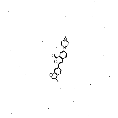 CC1COc2cc(-c3cc4ccc(N5CCN(C)CC5)cc4c(=O)o3)ccc21